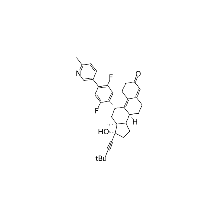 Cc1ccc(-c2cc(F)c([C@H]3C[C@@]4(C)C(CC[C@@]4(O)C#CC(C)(C)C)[C@@H]4CCC5=CC(=O)CCC5=C43)cc2F)cn1